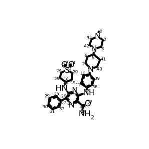 CN1CCN(C2CCN(c3ccc(Nc4nc(NC5CCS(=O)(=O)CC5)c(-c5ccccc5)nc4C(N)=O)cc3)CC2)CC1